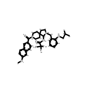 COc1ccc2cc(C(=O)N3CCC4(CC3)CCN(Cc3ccccc3OCC(C)C)C4OC(=O)C(F)(F)F)ccc2c1